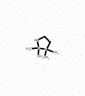 C[Si]1(C)CCN[Si]1(C)C